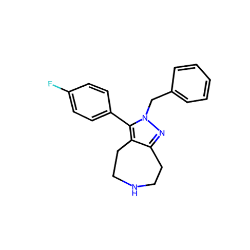 Fc1ccc(-c2c3c(nn2Cc2ccccc2)CCNCC3)cc1